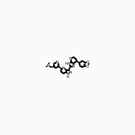 CN(C)Cc1cncc(-c2ccc3[nH]nc(-c4nc5c(-c6ccc7c(c6)OCO7)ccnc5[nH]4)c3n2)c1